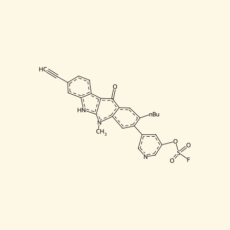 C#Cc1ccc2c(c1)[nH]c1c2c(=O)c2cc(CCCC)c(-c3cncc(OS(=O)(=O)F)c3)cc2n1C